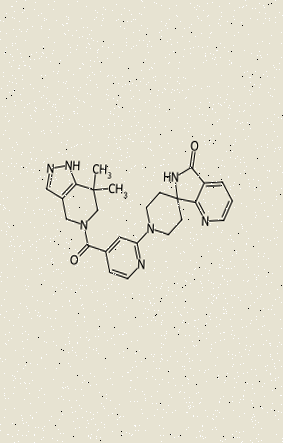 CC1(C)CN(C(=O)c2ccnc(N3CCC4(CC3)NC(=O)c3cccnc34)c2)Cc2cn[nH]c21